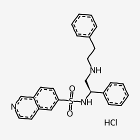 Cl.O=S(=O)(N[C@@H](CNCCc1ccccc1)c1ccccc1)c1ccc2cnccc2c1